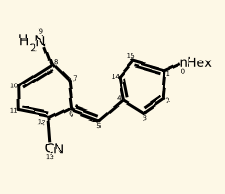 CCCCCCc1ccc(C=C2CC(N)=CC=C2C#N)cc1